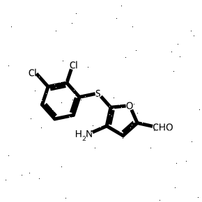 Nc1cc(C=O)oc1Sc1cccc(Cl)c1Cl